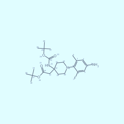 Cc1cc(N)cc(F)c1N1CCC(CC(=O)OC(C)(C)C)(NC(=O)OC(C)(C)C)CC1